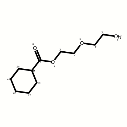 O=C(OCCOCCO)C1CCCCC1